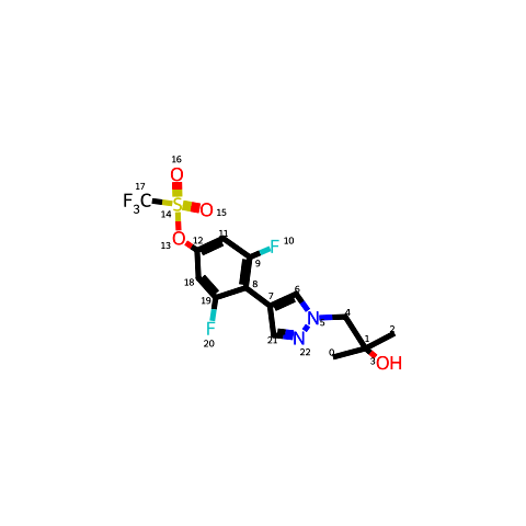 CC(C)(O)Cn1cc(-c2c(F)cc(OS(=O)(=O)C(F)(F)F)cc2F)cn1